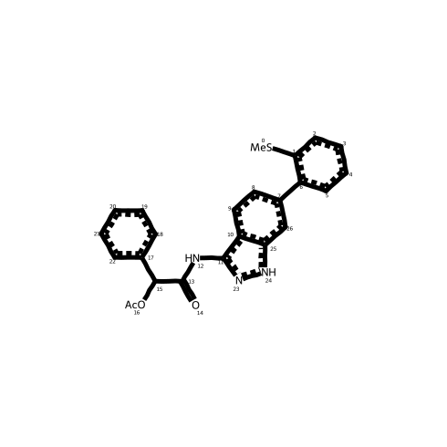 CSc1ccccc1-c1ccc2c(NC(=O)C(OC(C)=O)c3ccccc3)n[nH]c2c1